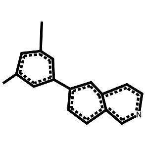 Cc1cc(C)cc(-c2ccc3cnccc3c2)c1